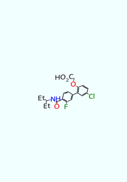 CCC(CC)NC(=O)c1ccc(-c2cc(Cl)ccc2OCC(=O)O)cc1F